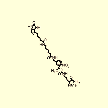 CNC(CCCNC(=O)OC(C)c1cc(CNC(=O)CCCCCNC(=O)CCCCC2SCC3NC(=O)NC32)ccc1[N+](=O)[O-])C(N)=O